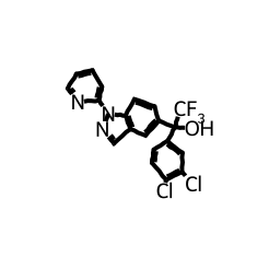 OC(c1ccc(Cl)c(Cl)c1)(c1ccc2c(cnn2-c2ccccn2)c1)C(F)(F)F